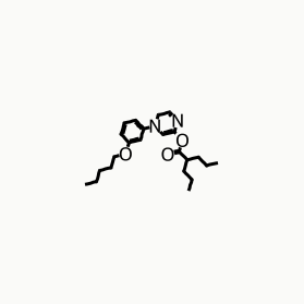 CCCCCOc1cccc(N2C=C(OC(=O)C(CCC)CCC)N=CC2)c1